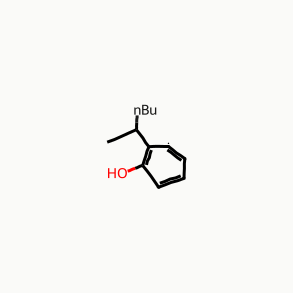 CCCCC(C)c1[c]cccc1O